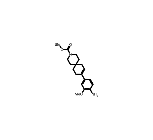 COc1cc(C2=CCC3(CC2)CCN(C(=O)OC(C)(C)C)CC3)ccc1N